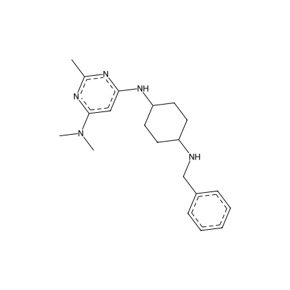 Cc1nc(NC2CCC(NCc3ccccc3)CC2)cc(N(C)C)n1